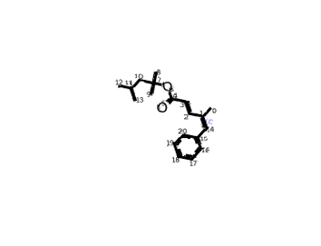 C/C(C=CC(=O)OC(C)(C)CC(C)C)=C/c1ccccc1